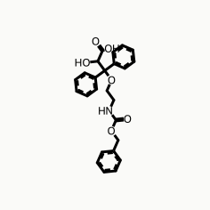 O=C(NCCOC(c1ccccc1)(c1ccccc1)C(O)C(=O)O)OCc1ccccc1